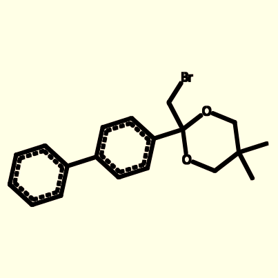 CC1(C)COC(CBr)(c2ccc(-c3ccccc3)cc2)OC1